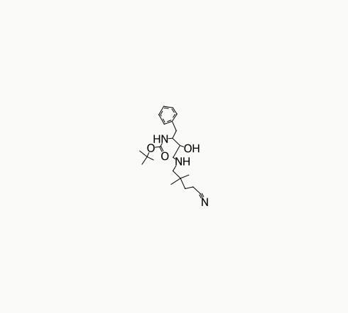 CC(C)(CCC#N)CNCC(O)C(Cc1ccccc1)NC(=O)OC(C)(C)C